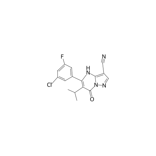 CC(C)c1c(-c2cc(F)cc(Cl)c2)[nH]c2c(C#N)cnn2c1=O